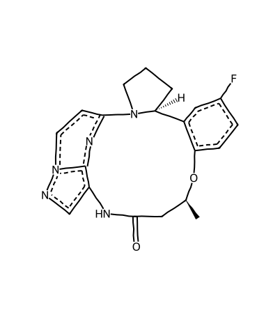 C[C@H]1CC(=O)Nc2cnn3ccc(nc23)N2CCC[C@H]2c2cc(F)ccc2O1